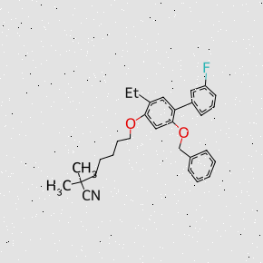 CCc1cc(-c2cccc(F)c2)c(OCc2ccccc2)cc1OCCCCCC(C)(C)C#N